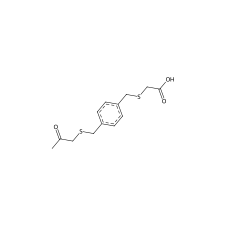 CC(=O)CSCc1ccc(CSCC(=O)O)cc1